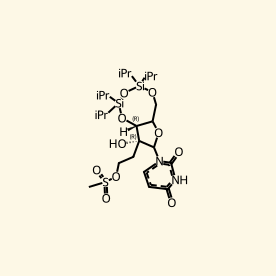 CC(C)[Si]1(C(C)C)OCC2OC(n3ccc(=O)[nH]c3=O)[C@@](O)(CCOS(C)(=O)=O)[C@@H]2O[Si](C(C)C)(C(C)C)O1